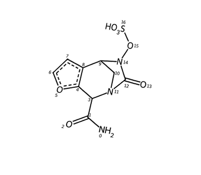 NC(=O)C1c2occc2C2CN1C(=O)N2OS(=O)(=O)O